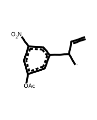 [CH2]C(C=C)c1cc(OC(C)=O)cc([N+](=O)[O-])c1